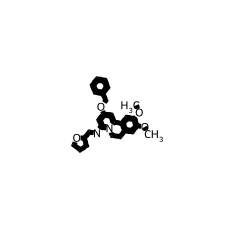 COc1cc2c(cc1OC)-c1cc(OCc3ccccc3)c/c(=N\CC3CCCO3)n1CC2